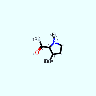 CCC(C)C1CCN(CC)C1C(=O)C(C)(C)C